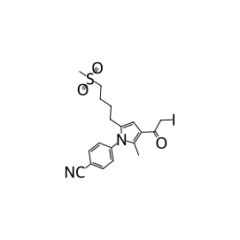 Cc1c(C(=O)CI)cc(CCCCS(C)(=O)=O)n1-c1ccc(C#N)cc1